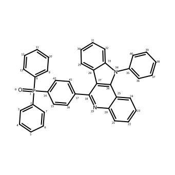 O=P(c1ccccc1)(c1ccccc1)c1ccc(-c2nc3ccccc3c3c2c2ccccc2n3-c2ccccc2)cc1